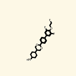 CCCC1CCC(C2COC(c3ccc(-c4cc(F)c(OCCF)c(F)c4)cc3)OC2)CC1